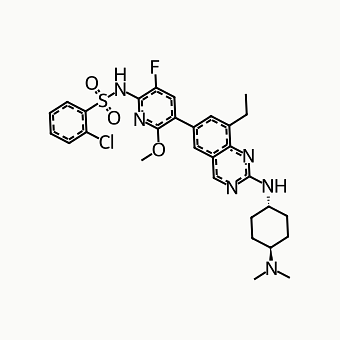 CCc1cc(-c2cc(F)c(NS(=O)(=O)c3ccccc3Cl)nc2OC)cc2cnc(N[C@H]3CC[C@H](N(C)C)CC3)nc12